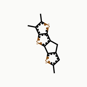 Cc1cc2c(s1)-c1sc3c(C)c(C)sc3c1C2